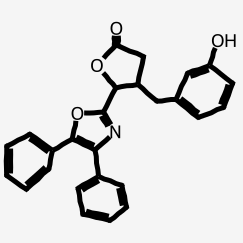 O=C1CC(Cc2cccc(O)c2)C(c2nc(-c3ccccc3)c(-c3ccccc3)o2)O1